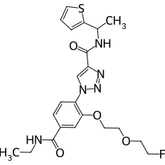 CCNC(=O)c1ccc(-n2cc(C(=O)NC(C)c3cccs3)nn2)c(OCCOCCF)c1